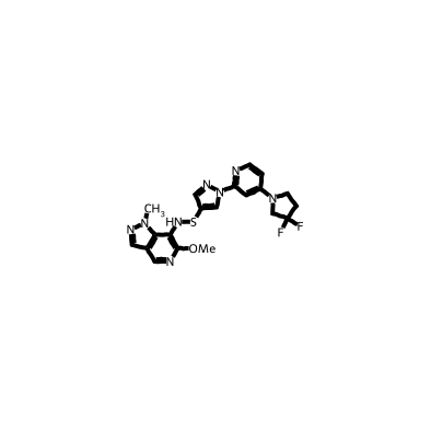 COc1ncc2cnn(C)c2c1NSc1cnn(-c2cc(N3CCC(F)(F)C3)ccn2)c1